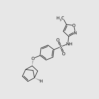 Cc1cc(NS(=O)(=O)c2ccc(O[C@@H]3C[C@H]4C=CC3C4)cc2)no1